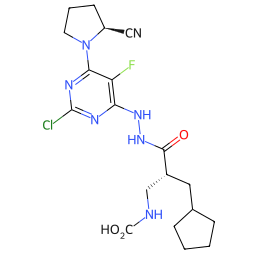 N#C[C@@H]1CCCN1c1nc(Cl)nc(NNC(=O)[C@@H](CNC(=O)O)CC2CCCC2)c1F